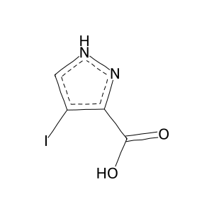 O=C(O)c1n[nH]cc1I